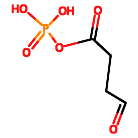 O=CCCC(=O)OP(=O)(O)O